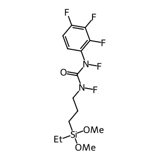 CC[Si](CCCN(F)C(=O)N(F)c1ccc(F)c(F)c1F)(OC)OC